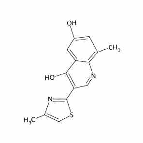 Cc1csc(-c2cnc3c(C)cc(O)cc3c2O)n1